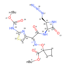 CCCCOC(=O)C1(O/N=C(\C(=O)N[C@@H]2C(=O)N[C@@H]2CN=[N+]=[N-])c2csc(NC(=O)OC(C)(C)C)n2)CCC1